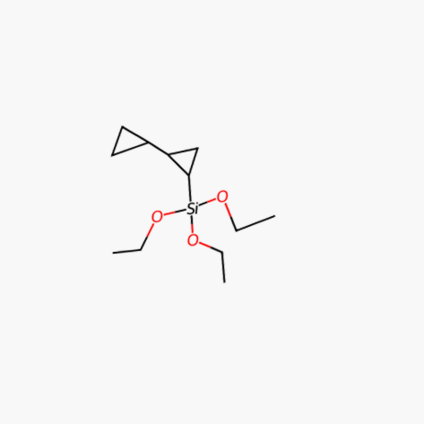 CCO[Si](OCC)(OCC)C1CC1C1CC1